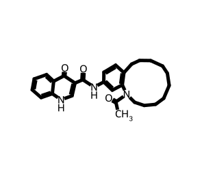 CC(=O)N1CCCCCCCCCCc2ccc(NC(=O)c3c[nH]c4ccccc4c3=O)cc21